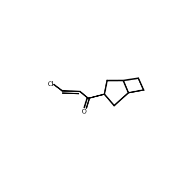 O=C(C=CCl)C1CC2CCC2C1